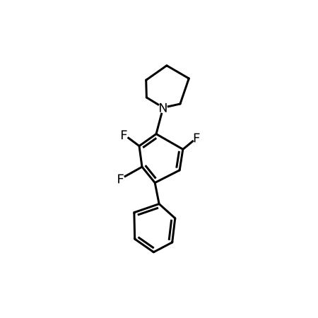 Fc1cc(-c2ccccc2)c(F)c(F)c1N1CCCCC1